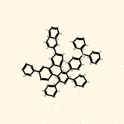 c1ccc(-c2ccc3c(c2)c2cc(-c4ccc5ccccc5c4)ccc2c2c(-c4ccc(N(c5ccccc5)c5ccccc5)cc4)c(-c4ccccc4)cc(-c4ccccc4)c32)cc1